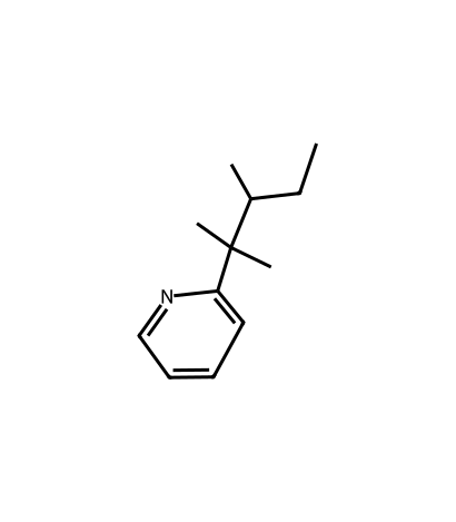 CCC(C)C(C)(C)c1ccccn1